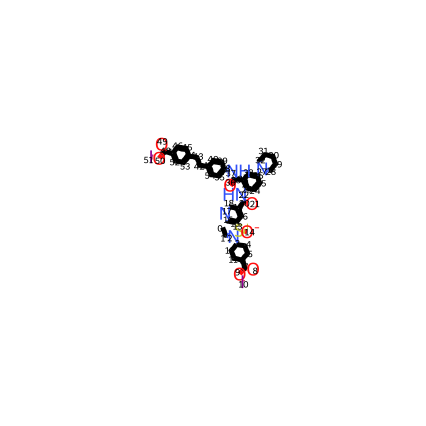 CCN(C1CCC(C(=O)OI)CC1)[S+]([O-])c1cncc(C(=O)Nc2ccc(N3CCCCC3)cc2C(=O)Nc2ccc(CCc3ccc(C(=O)OI)cc3)cc2)c1